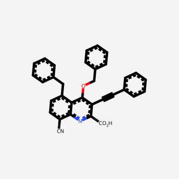 N#Cc1ccc(Cc2ccccc2)c2c(OCc3ccccc3)c(C#Cc3ccccc3)c(C(=O)O)nc12